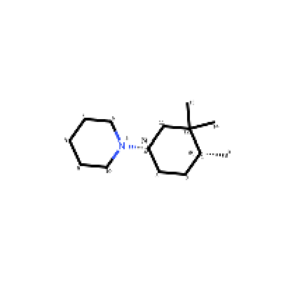 C[C@@H]1CC[C@H](N2CCCCC2)CC1(C)C